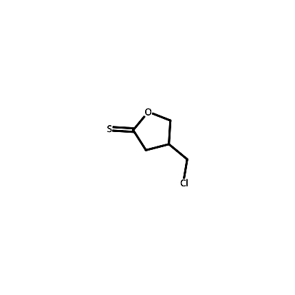 S=C1CC(CCl)CO1